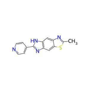 Cc1nc2cc3[nH]c(-c4ccncc4)nc3cc2s1